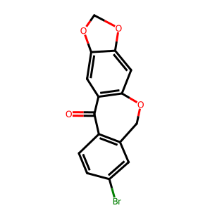 O=C1c2ccc(Br)cc2COc2cc3c(cc21)OCO3